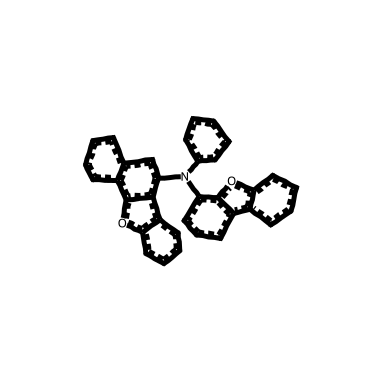 c1ccc(N(c2cccc3c2oc2ccccc23)c2cc3ccccc3c3oc4ccccc4c23)cc1